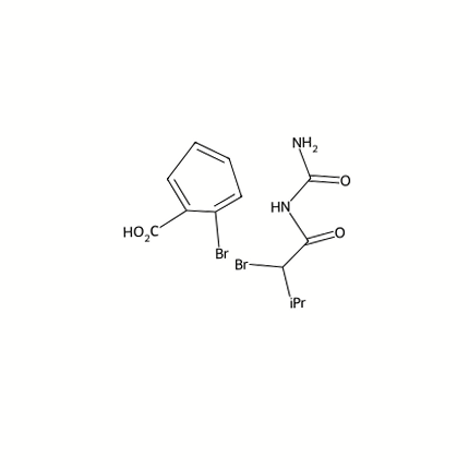 CC(C)C(Br)C(=O)NC(N)=O.O=C(O)c1ccccc1Br